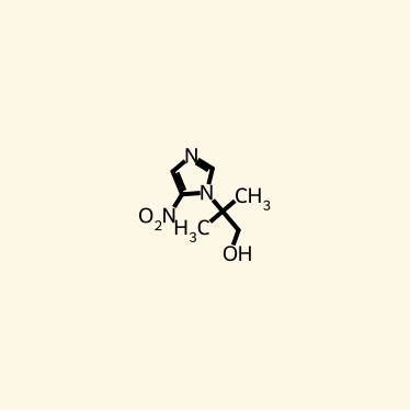 CC(C)(CO)n1cncc1[N+](=O)[O-]